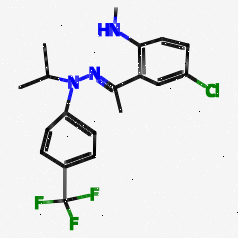 CNc1ccc(Cl)cc1/C(C)=N/N(c1ccc(C(F)(F)F)cc1)C(C)C